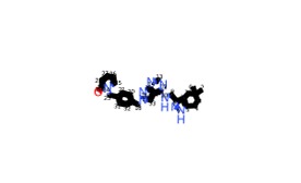 CC1(C)CCc2[nH]nc(CNc3ncnc4nn(Cc5ccc(Cn6ccccc6=O)cc5)cc34)c2C1